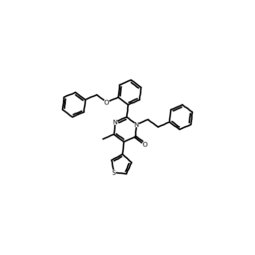 Cc1nc(-c2ccccc2OCc2ccccc2)n(CCc2ccccc2)c(=O)c1-c1ccsc1